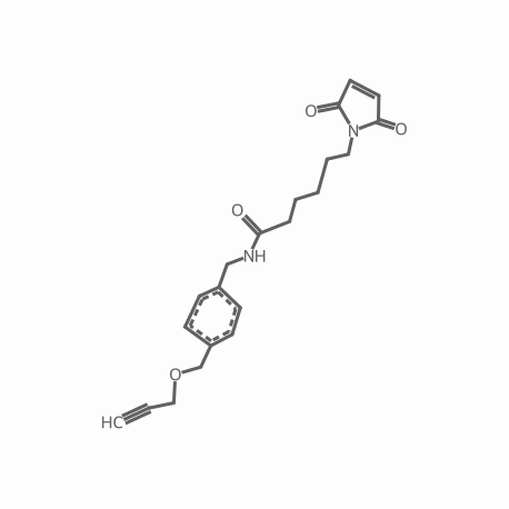 C#CCOCc1ccc(CNC(=O)CCCCCN2C(=O)C=CC2=O)cc1